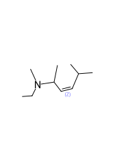 CCN(C)C(C)/C=C\C(C)C